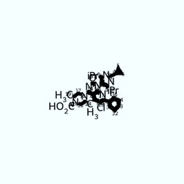 CC(C)c1nc(C2CC2)nc(C(C)C)c1-n1c(=O)nc(N2C[C@@H](C)N(C(=O)O)C[C@@H]2C)c2cc(Cl)c(-c3ccccc3F)nc21